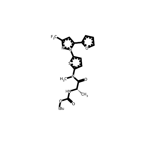 C[C@H](NC(=O)OC(C)(C)C)C(=O)N(C)c1ccc(-n2nc(C(F)(F)F)cc2-c2ccco2)s1